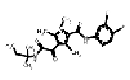 CCC(C)(C)NC(=O)C(=O)c1c(C)c(C(=O)Nc2ccc(F)c(F)c2)n(C)c1C